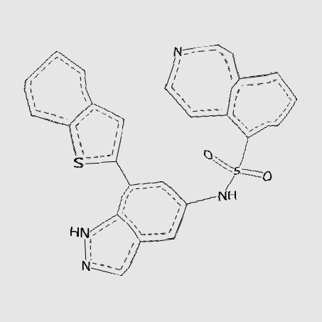 O=S(=O)(Nc1cc(-c2cc3ccccc3s2)c2[nH]ncc2c1)c1cccc2cnccc12